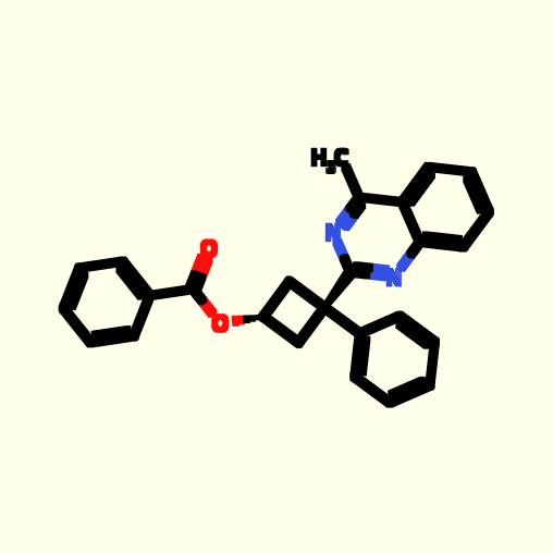 Cc1nc([C@]2(c3ccccc3)C[C@@H](OC(=O)c3ccccc3)C2)nc2ccccc12